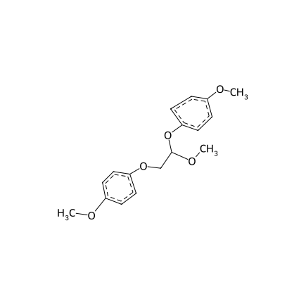 COc1ccc(OCC(OC)Oc2ccc(OC)cc2)cc1